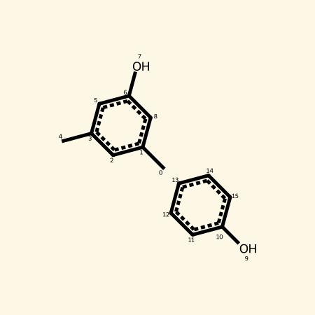 Cc1cc(C)cc(O)c1.Oc1ccccc1